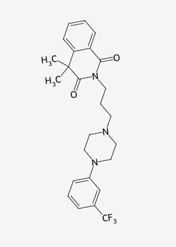 CC1(C)C(=O)N(CCCN2CCN(c3cccc(C(F)(F)F)c3)CC2)C(=O)c2ccccc21